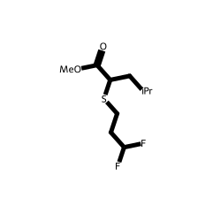 COC(=O)C(CC(C)C)SCCC(F)F